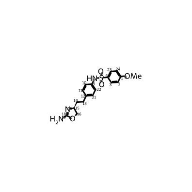 COc1ccc(S(=O)(=O)Nc2ccc(CC[C@H]3COC(N)=N3)cc2)cc1